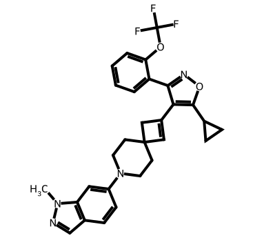 Cn1ncc2ccc(N3CCC4(C=C(c5c(-c6ccccc6OC(F)(F)F)noc5C5CC5)C4)CC3)cc21